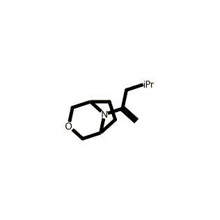 C=C(CC(C)C)N1C2CCC1COC2